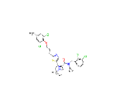 Cc1cc(Cl)c(OCCCc2ncc(C3=C(C(=O)N(Cc4cccc(Cl)c4Cl)C4CC4)C4CC[C@@H](C3)N4)s2)c(Cl)c1